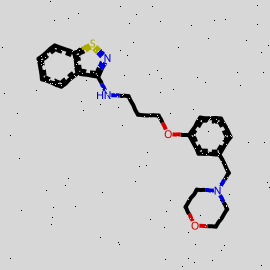 c1cc(CN2CCOCC2)cc(OCCCNc2nsc3ccccc23)c1